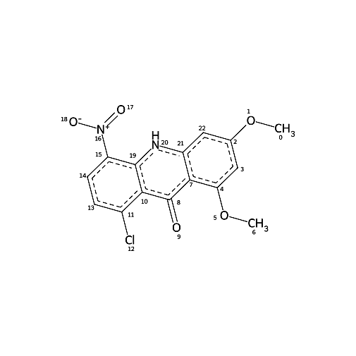 COc1cc(OC)c2c(=O)c3c(Cl)ccc([N+](=O)[O-])c3[nH]c2c1